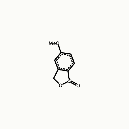 COc1ccc2c(c1)COS2=O